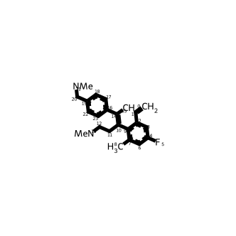 C=Cc1cc(F)cc(C)c1/C(CCNC)=C(\C)c1ccc(CNC)cc1